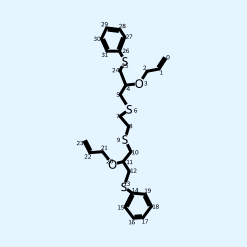 C=CCOC(CSCCSCC(CSc1ccccc1)OCC=C)CSc1ccccc1